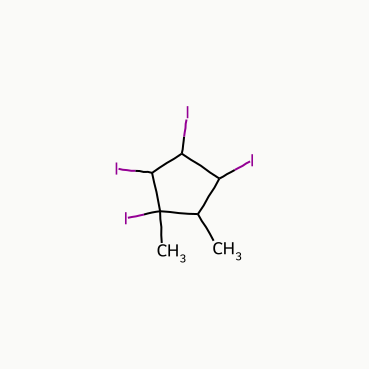 CC1C(I)C(I)C(I)C1(C)I